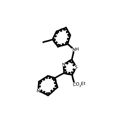 CCOC(=O)c1sc(Nc2cccc(C)c2)nc1-c1ccncc1